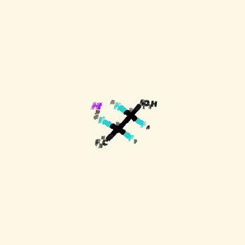 I.O=S(=O)(O)C(F)(F)C(F)(F)C(F)(F)F